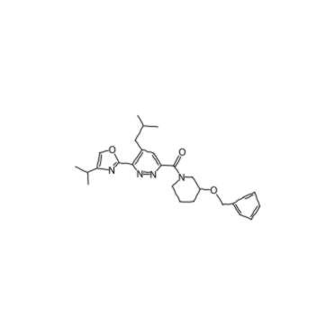 CC(C)Cc1cc(C(=O)N2CCCC(OCc3ccccc3)C2)nnc1-c1nc(C(C)C)co1